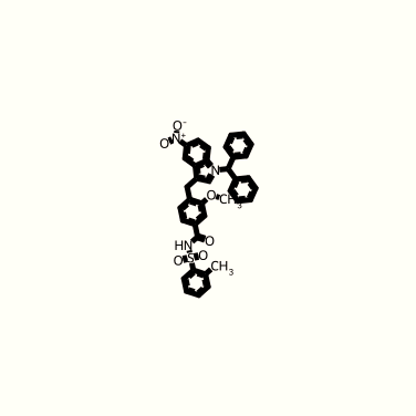 COc1cc(C(=O)NS(=O)(=O)c2ccccc2C)ccc1Cc1cn(C(c2ccccc2)c2ccccc2)c2ccc([N+](=O)[O-])cc12